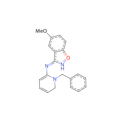 COc1ccc2o[nH]c(=NC3=CC=CCN3Cc3ccccc3)c2c1